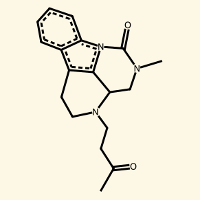 CC(=O)CCN1CCc2c3n(c4ccccc24)C(=O)N(C)CC31